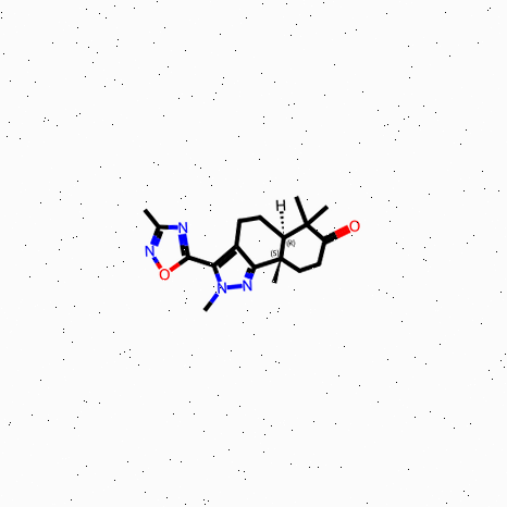 Cc1noc(-c2c3c(nn2C)[C@@]2(C)CCC(=O)C(C)(C)[C@@H]2CC3)n1